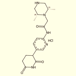 C[C@@H]1CNC[C@H](C)N1CC(=O)Nc1ccc(C2CCC(=O)NC2=O)cn1.Cl